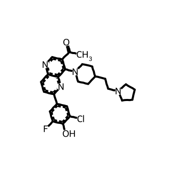 CC(=O)c1cnc2ccc(-c3cc(F)c(O)c(Cl)c3)nc2c1N1CCC(CCN2CCCC2)CC1